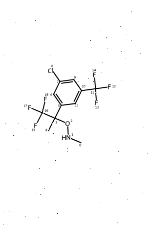 CNOC(C)(c1cc(Cl)cc(C(F)(F)F)c1)C(F)(F)F